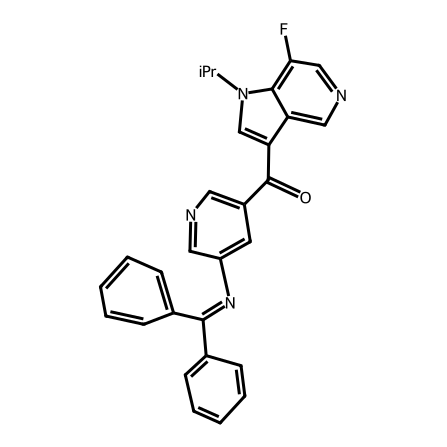 CC(C)n1cc(C(=O)c2cncc(N=C(c3ccccc3)c3ccccc3)c2)c2cncc(F)c21